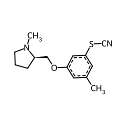 Cc1cc(OC[C@H]2CCCN2C)cc(SC#N)c1